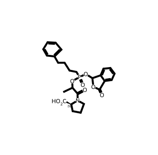 CC(OP(=O)(CCCCc1ccccc1)OC1OC(=O)c2ccccc21)C(=O)N1CCC[C@H]1C(=O)O